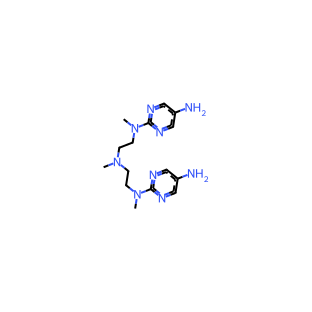 CN(CCN(C)c1ncc(N)cn1)CCN(C)c1ncc(N)cn1